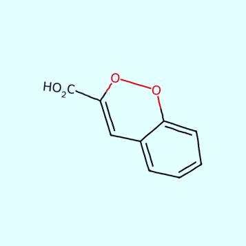 O=C(O)C1=Cc2ccccc2OO1